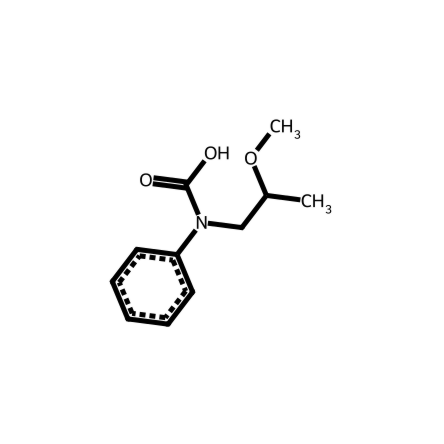 COC(C)CN(C(=O)O)c1ccccc1